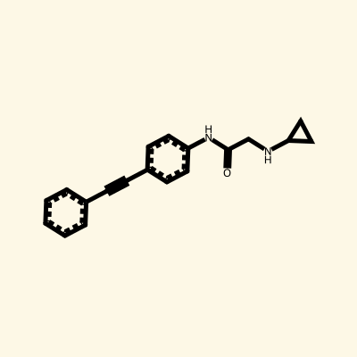 O=C(CNC1CC1)Nc1ccc(C#Cc2ccccc2)cc1